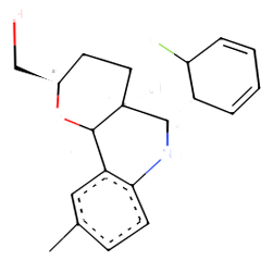 OC[C@H]1CC[C@@H]2[C@H](O1)c1cc(C(F)(F)F)ccc1N[C@H]2C1C=CC=CC1F